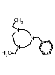 CCN1CCN(CC)CCN(Cc2ccccc2)CC1